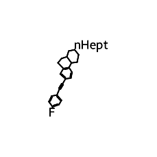 CCCCCCCC1CCC2c3ccc(C#Cc4ccc(F)cc4)cc3CCC2C1